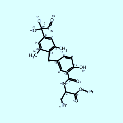 CCCOC(=O)C(CC(C)C)NC(=O)c1cc(Cc2c(C)cc(C(C)(O)P=O)cc2C)ccc1O